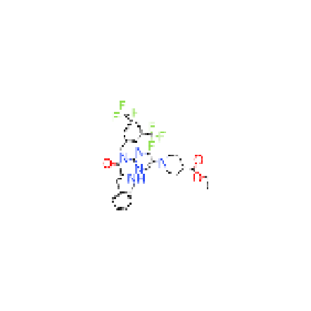 CCOC(=O)C1CCN(c2cnc(N(Cc3cc(C(F)(F)F)cc(C(F)(F)F)c3)C(=O)C3=Cc4ccccc4CN3)nc2)CC1